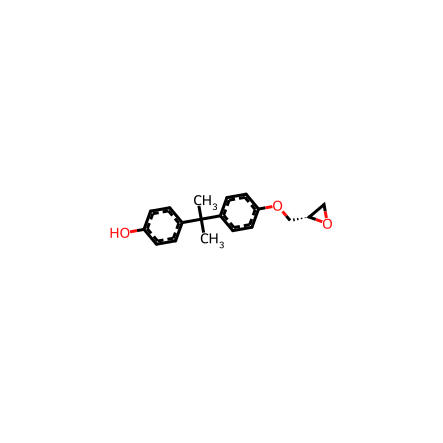 CC(C)(c1ccc(O)cc1)c1ccc(OC[C@@H]2CO2)cc1